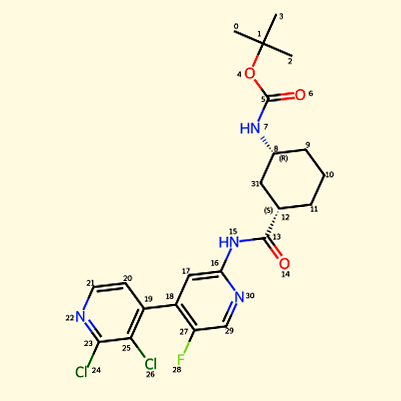 CC(C)(C)OC(=O)N[C@@H]1CCC[C@H](C(=O)Nc2cc(-c3ccnc(Cl)c3Cl)c(F)cn2)C1